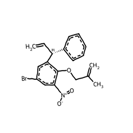 C=C[C@H](c1ccccc1)c1cc(Br)cc([N+](=O)[O-])c1OCC(=C)C